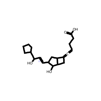 O=C(O)CCC=C=C1CC2C1CC(/C=C/C(O)C1CCCC1)C2O